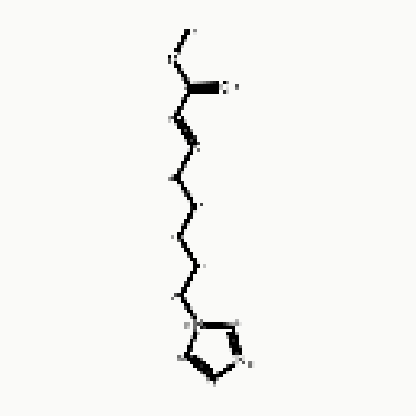 COC(=O)C=CCCCCCn1ccnc1